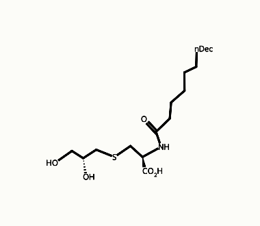 CCCCCCCCCCCCCCCC(=O)N[C@H](CSC[C@H](O)CO)C(=O)O